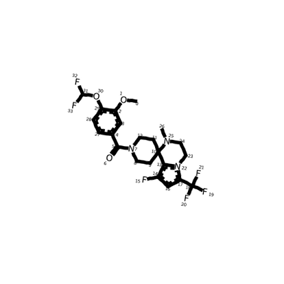 COc1cc(C(=O)N2CCC3(CC2)c2c(F)cc(C(F)(F)F)n2CCN3C)ccc1OC(F)F